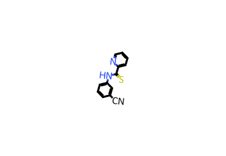 N#Cc1cccc(NC(=S)c2ccccn2)c1